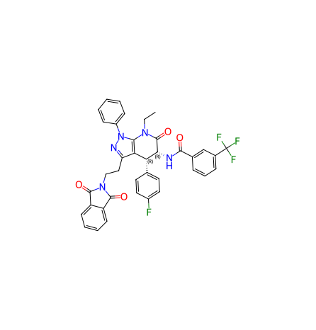 CCN1C(=O)[C@H](NC(=O)c2cccc(C(F)(F)F)c2)[C@H](c2ccc(F)cc2)c2c(CCN3C(=O)c4ccccc4C3=O)nn(-c3ccccc3)c21